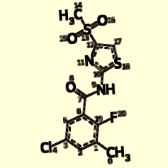 Cc1cc(Cl)cc(C(=O)Nc2nc(S(C)(=O)=O)cs2)c1F